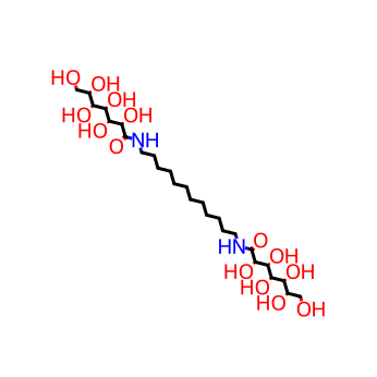 O=C(NCCCCCCCCCCCCNC(=O)[C@H](O)[C@H](O)[C@H](O)[C@@H](O)[C@H](O)CO)[C@H](O)[C@H](O)[C@H](O)[C@@H](O)[C@H](O)CO